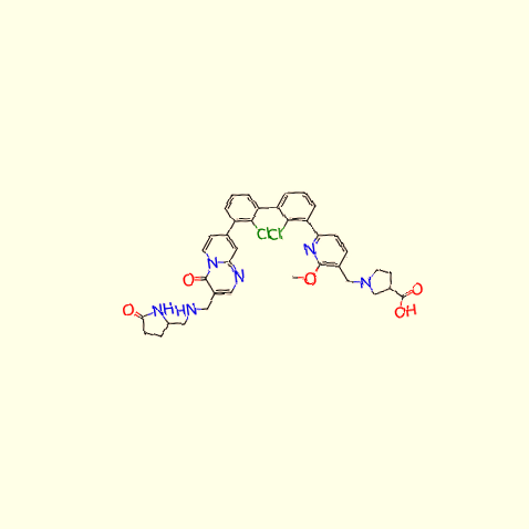 COc1nc(-c2cccc(-c3cccc(-c4ccn5c(=O)c(CNCC6CCC(=O)N6)cnc5c4)c3Cl)c2Cl)ccc1CN1CCC(C(=O)O)C1